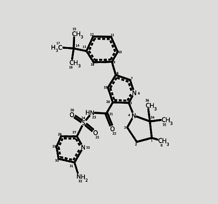 CC1CCN(c2ncc(-c3cccc(C(C)(C)C)c3)cc2C(=O)NS(=O)(=O)c2cccc(N)n2)C1(C)C